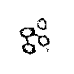 [Ir].c1ccc(-c2ccccc2-c2ccccc2)cc1.c1ccncc1